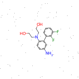 Nc1ccc(N(CCO)CCO)c(-c2cccc(F)c2F)c1